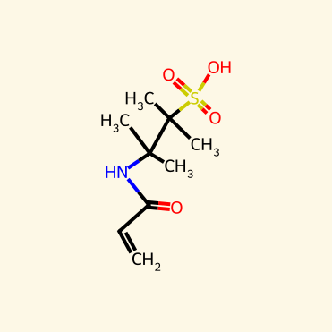 C=CC(=O)NC(C)(C)C(C)(C)S(=O)(=O)O